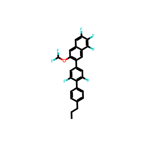 CCCc1ccc(-c2c(F)cc(-c3cc4c(F)c(F)c(F)cc4cc3OC(F)F)cc2F)cc1